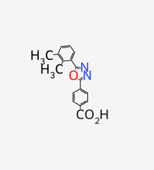 Cc1cccc(-c2nnc(-c3ccc(C(=O)O)cc3)o2)c1C